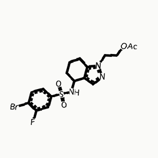 CC(=O)OCCn1ncc2c1CCCC2NS(=O)(=O)c1ccc(Br)c(F)c1